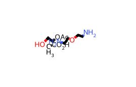 CC(=O)O.CC(=O)OCCO.NCCOCCN